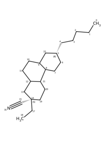 CCCCC[C@@H]1CCC2C(CCC3C[C@](C#N)(CC)CCC32)C1